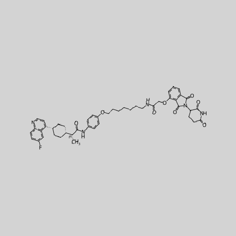 C[C@@H](C(=O)Nc1ccc(OCCCCCCCNC(=O)COc2cccc3c2C(=O)N(C2CCC(=O)NC2=O)C3=O)cc1)[C@H]1CC[C@@H](c2ccnc3ccc(F)cc32)CC1